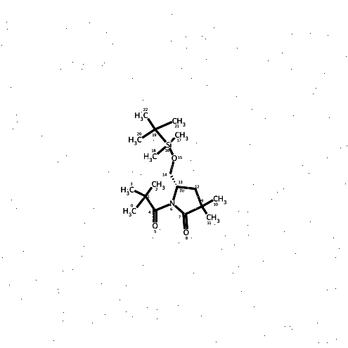 CC(C)(C)C(=O)N1C(=O)C(C)(C)C[C@H]1CO[Si](C)(C)C(C)(C)C